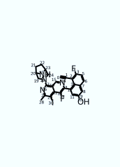 C#Cc1c(F)ccc2cc(O)cc(-c3ncc4c(N5CC6CCC(C5)N6)nc(C)c(I)c4c3F)c12